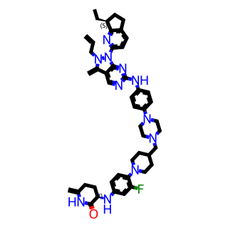 C=CCN1C(=C)c2cnc(Nc3ccc(N4CCN(CC5CCN(c6ccc(N[C@@H]7CCC(=C)NC7=O)cc6F)CC5)CC4)cc3)nc2N1c1ccc2c(n1)[C@@H](CC)CC2